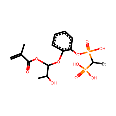 C=C(C)C(=O)OC(Oc1ccccc1OP(=O)(O)C(CC)P(=O)(O)O)C(C)O